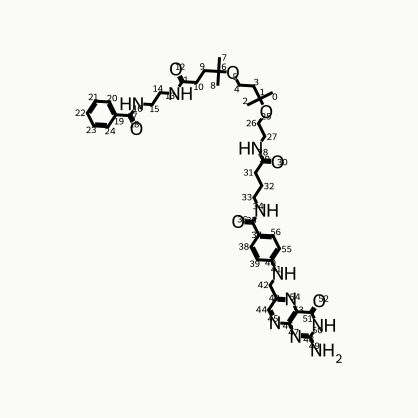 CC(C)(CCOC(C)(C)CCC(=O)NCCNC(=O)c1ccccc1)OCCNC(=O)CCCNC(=O)c1ccc(NCc2cnc3nc(N)[nH]c(=O)c3n2)cc1